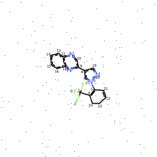 FC(F)(F)C1=C(n2cc(-c3cnc4ccccc4n3)cn2)C=CCC1